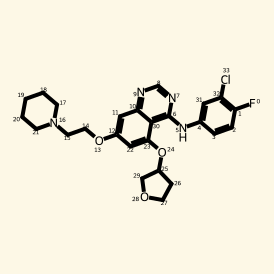 Fc1ccc(Nc2ncnc3cc(OCCN4CCCCC4)cc(OC4CCOC4)c23)cc1Cl